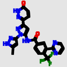 Cc1cc(-n2nc(-c3ccc(=O)[nH]n3)cc2NC(=O)c2ccc(C(F)(F)F)c(-c3ncccn3)c2)n[nH]1